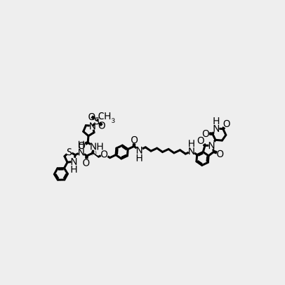 CS(=O)(=O)N1CCC(C(=O)N[C@@H](COCc2ccc(C(=O)NCCCCCCCCNc3cccc4c3C(=O)N(C3CCC(=O)NC3=O)C4=O)cc2)C(=O)NC2NC(c3ccccc3)CS2)C1